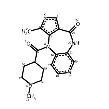 Cc1scc2c1N(C(=O)C1CCN(C)CC1)c1ccncc1NC2=O